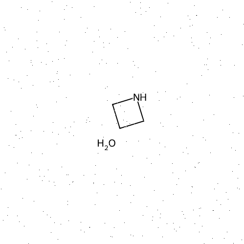 C1CNC1.O